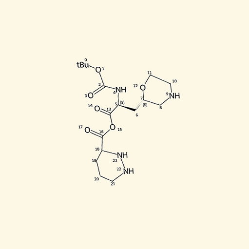 CC(C)(C)OC(=O)N[C@@H](C[C@H]1CNCCO1)C(=O)OC(=O)C1CCCNN1